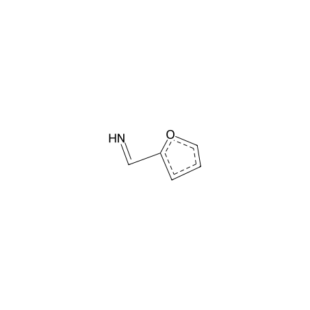 N=Cc1ccco1